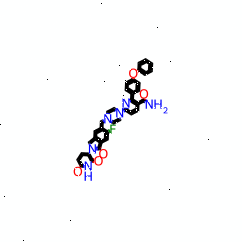 NC(=O)c1ccc(N2CCN(Cc3cc4c(cc3F)C(=O)N(C3CCC(=O)NC3=O)C4)CC2)nc1-c1ccc(Oc2ccccc2)cc1